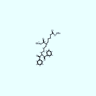 CC(C)(C)OC(=O)CCCCC(CCCCC(C(=O)c1ccccc1)C(=O)c1ccccc1)C(=O)OC(C)(C)C